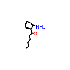 CCCCCC(=O)c1ccccc1N